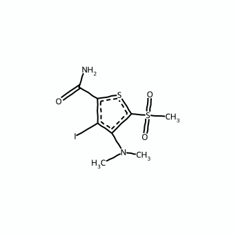 CN(C)c1c(S(C)(=O)=O)sc(C(N)=O)c1I